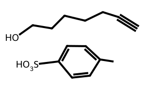 C#CCCCCCO.Cc1ccc(S(=O)(=O)O)cc1